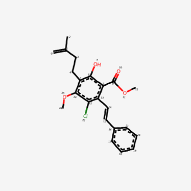 C=C(C)CCc1c(O)c(C(=O)OC)c(C=Cc2ccccc2)c(Cl)c1OC